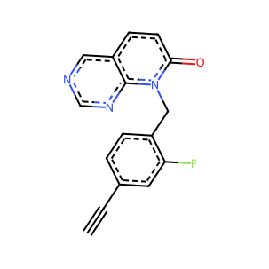 C#Cc1ccc(Cn2c(=O)ccc3cncnc32)c(F)c1